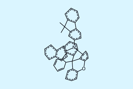 CC1(C)c2ccccc2-c2ccc(N(c3ccc4ccccc4c3)c3cccc4c3C3(c5ccccc5O4)c4ccccc4C4C=CC=CC43)cc21